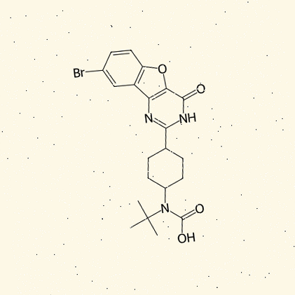 CC(C)(C)N(C(=O)O)C1CCC(c2nc3c(oc4ccc(Br)cc43)c(=O)[nH]2)CC1